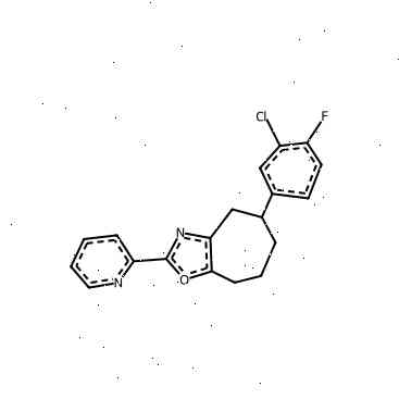 Fc1ccc(C2CCCc3oc(-c4ccccn4)nc3C2)cc1Cl